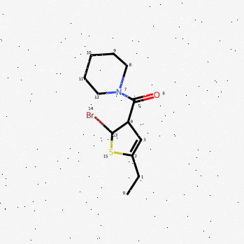 CCC1=CC(C(=O)N2CCCCC2)C(Br)S1